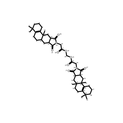 CC1(C)CCCC2=C1CCC1CC3C(=O)N(CC(=O)OCOC(=O)CN4C(=O)C5CC6(C)CCC7=C(CCCC7(C)C)C6(C)CC5C4=O)C(=O)C3CC21C